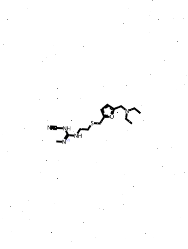 CCN(CC)Cc1ccc(CSCCN/C(=N/C)NC#N)o1